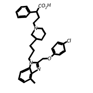 Cc1cccc2c1nc(COc1ccc(Cl)cc1)n2CCCC1CCCN(CCC(C(=O)O)c2ccccc2)C1